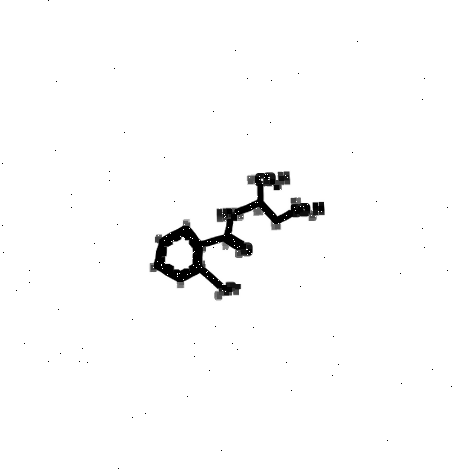 CCCc1ccccc1C(=O)NC(CS(=O)(=O)O)C(=O)O